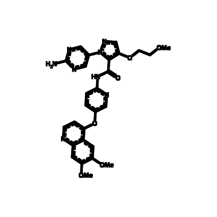 COCCOc1cnn(-c2cnc(N)nc2)c1C(=O)Nc1ccc(Oc2ccnc3cc(OC)c(OC)cc23)cn1